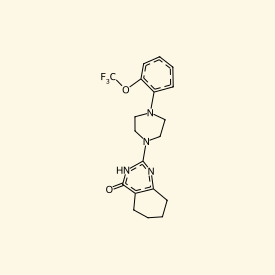 O=c1[nH]c(N2CCN(c3ccccc3OC(F)(F)F)CC2)nc2c1CCCC2